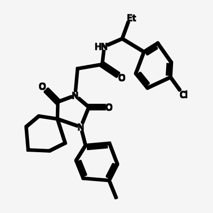 CCC(NC(=O)CN1C(=O)N(c2ccc(C)cc2)C2(CCCCC2)C1=O)c1ccc(Cl)cc1